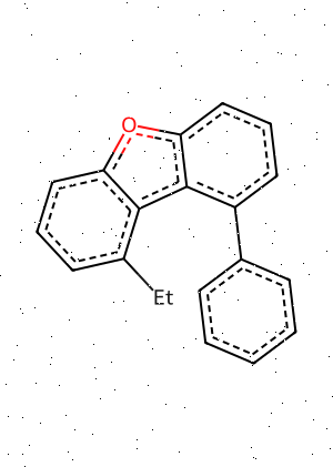 CCc1cccc2oc3cccc(-c4ccccc4)c3c12